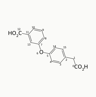 O=C(O)Cc1ccc(Oc2cccc(C(=O)O)c2)cc1